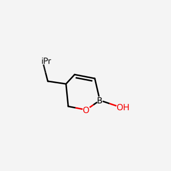 CC(C)CC1C=CB(O)OC1